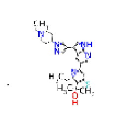 CCc1nc(-c2cnc3[nH]cc(-c4cnn(C5CCN(CC)CC5)c4)c3c2)cc(F)c1C(C)(C)O